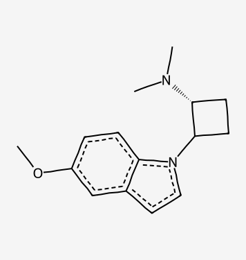 COc1ccc2c(ccn2C2CC[C@H]2N(C)C)c1